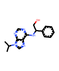 CC(C)n1cnc2c(NC(CO)c3ccccc3)ncnc21